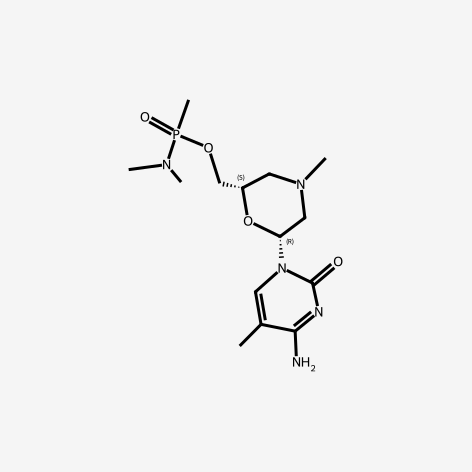 Cc1cn([C@H]2CN(C)C[C@@H](COP(C)(=O)N(C)C)O2)c(=O)nc1N